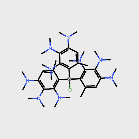 Cc1cc(N(C)C)c(N(C)C)c(N(C)C)c1[Si](Cl)(c1c(C)cc(N(C)C)c(N(C)C)c1N(C)C)c1c(C)cc(N(C)C)c(N(C)C)c1N(C)C